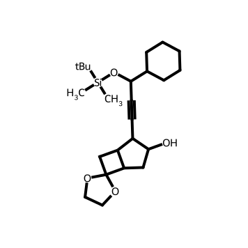 CC(C)(C)[Si](C)(C)OC(C#CC1C(O)CC2C1CC21OCCO1)C1CCCCC1